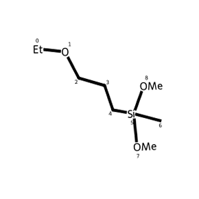 CCOCCC[Si](C)(OC)OC